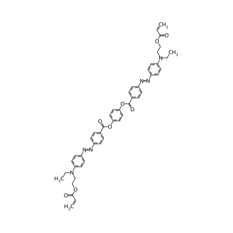 C=CC(=O)OCCN(CC)c1ccc(N=Nc2ccc(C(=O)Oc3ccc(OC(=O)c4ccc(N=Nc5ccc(N(CC)CCOC(=O)C=C)cc5)cc4)cc3)cc2)cc1